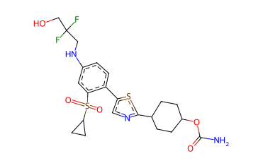 NC(=O)OC1CCC(c2ncc(-c3ccc(NCC(F)(F)CO)cc3S(=O)(=O)C3CC3)s2)CC1